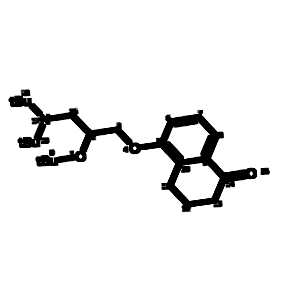 CC(C)(C)OC(COc1cccc2c1CCCC2=O)CN(C(C)(C)C)C(C)(C)C